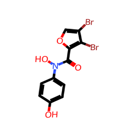 O=C(c1occ(Br)c1Br)N(O)c1ccc(O)cc1